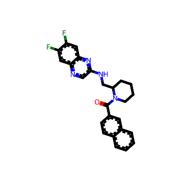 O=C(c1ccc2ccccc2c1)N1CCCCC1CNc1cnc2cc(F)c(F)cc2n1